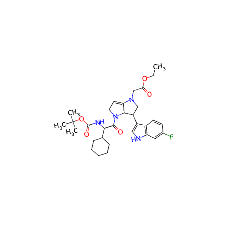 CCOC(=O)CN1CC(c2c[nH]c3cc(F)ccc23)C2C1=CCN2C(=O)C(NC(=O)OC(C)(C)C)C1CCCCC1